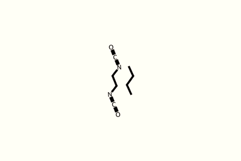 CCCC.O=C=NCCN=C=O